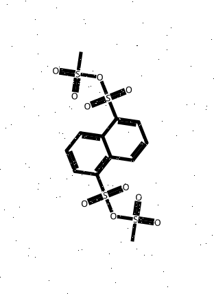 CS(=O)(=O)OS(=O)(=O)c1cccc2c(S(=O)(=O)OS(C)(=O)=O)cccc12